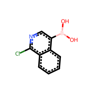 OB(O)c1cnc(Cl)c2ccccc12